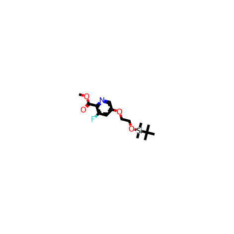 COC(=O)c1ncc(OCCO[Si](C)(C)C(C)(C)C)cc1F